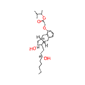 CCCCC[C@@H](O)CCC1[C@H](O)C[C@@H]2Cc3c(cccc3OCC(=O)OC(C)C(C)C)C[C@H]12